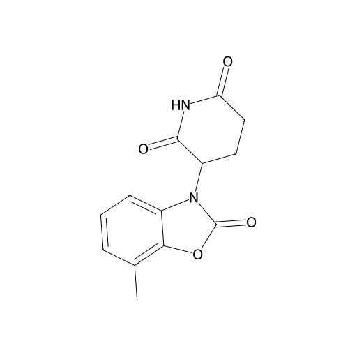 Cc1cccc2c1oc(=O)n2C1CCC(=O)NC1=O